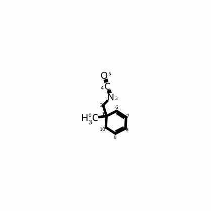 CC1(CN=C=O)C=CC=CC1